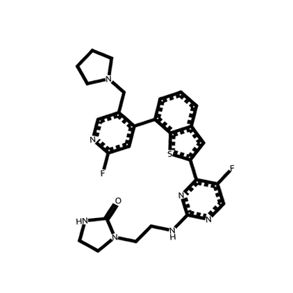 O=C1NCCN1CCNc1ncc(F)c(-c2cc3cccc(-c4cc(F)ncc4CN4CCCC4)c3s2)n1